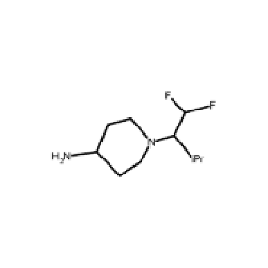 CC(C)C(C(F)F)N1CCC(N)CC1